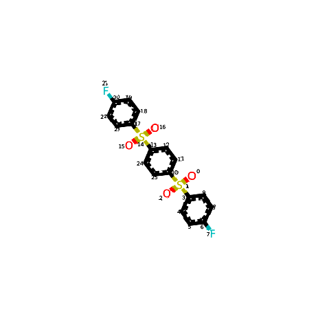 O=S(=O)(c1ccc(F)cc1)c1ccc(S(=O)(=O)c2ccc(F)cc2)cc1